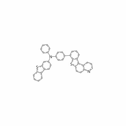 c1ccc(N(c2ccc(-c3cccc4c3sc3ccc5ncccc5c34)cc2)c2ccc3c(c2)sc2ccccc23)cc1